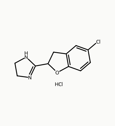 Cl.Clc1ccc2c(c1)CC(C1=NCCN1)O2